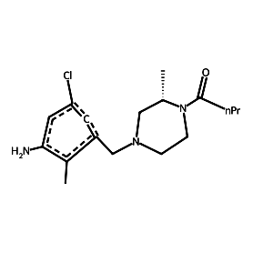 CCCC(=O)N1CCN(Cc2cc(Cl)cc(N)c2C)C[C@@H]1C